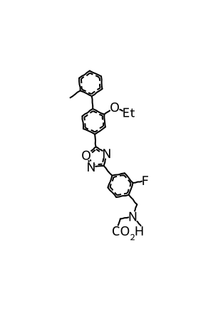 CCOc1cc(-c2nc(-c3ccc(CN(C)CC(=O)O)c(F)c3)no2)ccc1-c1ccccc1C